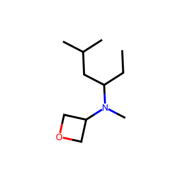 CCC(CC(C)C)N(C)C1COC1